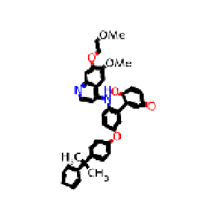 COCCOc1cc2nccc(Nc3ccc(Oc4ccc(C(C)(C)c5ccccc5)cc4)cc3C3=CC(=O)C=CC3=O)c2cc1OC